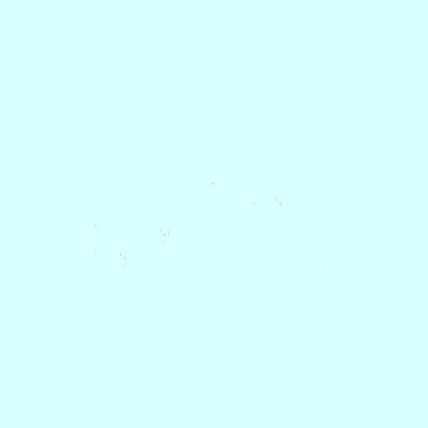 Fc1cc(NC2CCCCC2)c(Cl)cc1SNc1nccs1